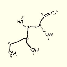 O=C[C@H](O)[C@@H](O)C(O)CO